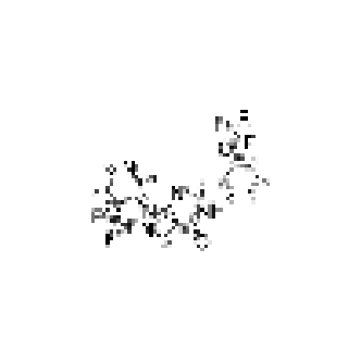 O=c1[nH]c(Cc2ccccc2OC(F)(F)F)nc2c1cnn2-c1cnccc1C(F)(F)F